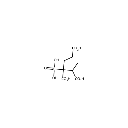 CC(C(=O)O)C(CCC(=O)O)(C(=O)O)P(=O)(O)O